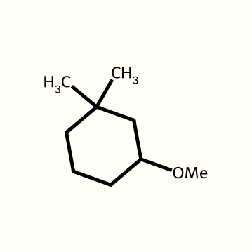 COC1CCCC(C)(C)C1